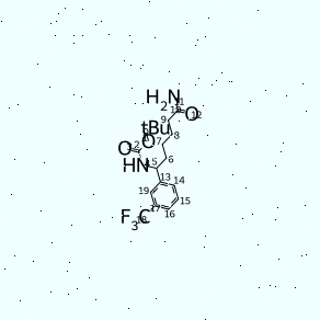 CC(C)(C)OC(=O)NC(CCCCC(N)=O)c1cccc(C(F)(F)F)c1